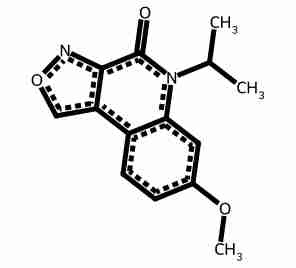 COc1ccc2c3conc3c(=O)n(C(C)C)c2c1